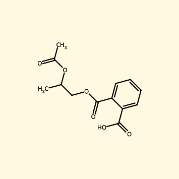 CC(=O)OC(C)COC(=O)c1ccccc1C(=O)O